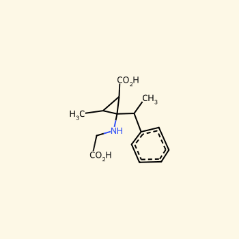 CC(c1ccccc1)C1(NCC(=O)O)C(C)C1C(=O)O